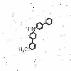 C[C@@H]1C=C(c2ccc(Nc3ccc(-c4ccccc4)cc3)cc2)C=CC1